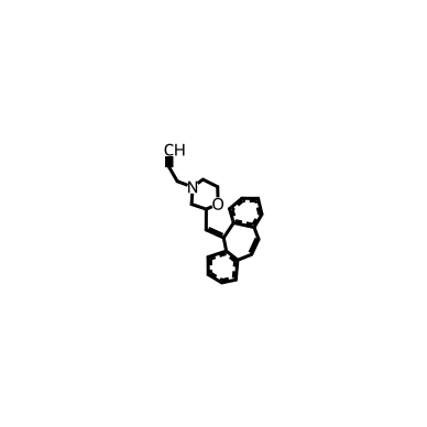 C#CCN1CCOC(C=C2c3ccccc3C=Cc3ccccc32)C1